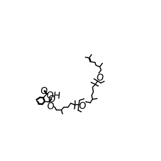 CCC(C)(OCCC(C)CCC=C(C)C)C(C)(C)CCCC(C)CCOC(CC)(CC)C(C)(C)CCCC(C)CCOC(=O)c1ccccc1C(=O)O